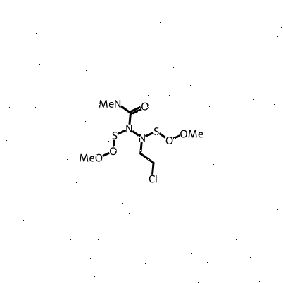 CNC(=O)N(SOOC)N(CCCl)SOOC